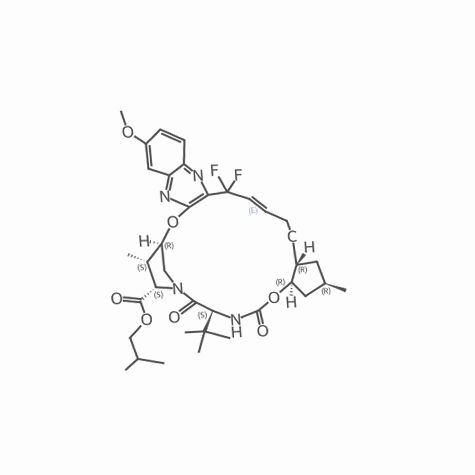 COc1ccc2nc3c(nc2c1)O[C@H]1CN(C(=O)[C@H](C(C)(C)C)NC(=O)O[C@@H]2C[C@H](C)C[C@H]2CC/C=C/C3(F)F)[C@H](C(=O)OCC(C)C)[C@@H]1C